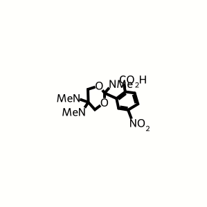 CNC1(NC)COC(NC)(c2cc([N+](=O)[O-])ccc2C(=O)O)OC1